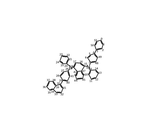 c1ccc(-c2ccc(N(c3ccccc3)c3ccc(N(c4ccccc4)c4ccc(-c5cccc6ccccc56)cc4)c4ccccc34)cc2)cc1